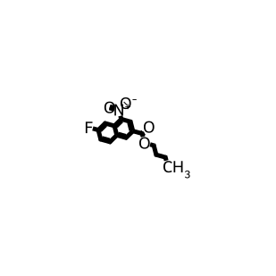 CCCCOC(=O)c1cc([N+](=O)[O-])c2cc(F)ccc2c1